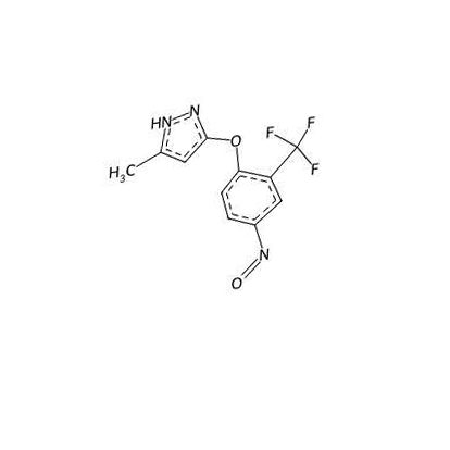 Cc1cc(Oc2ccc(N=O)cc2C(F)(F)F)n[nH]1